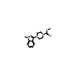 COC(=N)N1CCN(c2nn(C)c3ccccc23)CC1